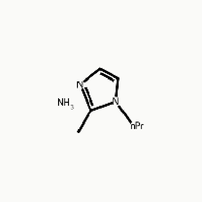 CCCn1ccnc1C.N